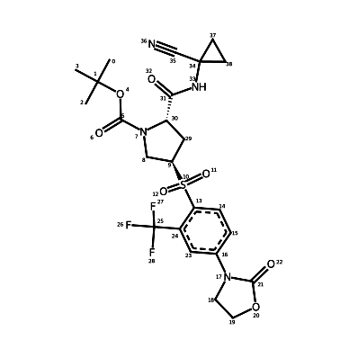 CC(C)(C)OC(=O)N1C[C@H](S(=O)(=O)c2ccc(N3CCOC3=O)cc2C(F)(F)F)C[C@H]1C(=O)NC1(C#N)CC1